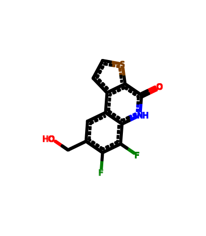 O=c1[nH]c2c(F)c(F)c(CO)cc2c2ccsc12